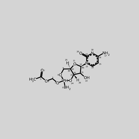 B[PH]1(OCOC(C)=O)OC[C@H]2O[C@@H](n3ccc(N)nc3=O)C(O)[C@@H]2O1